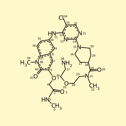 CNC(=O)COc1cc2cc(Nc3nc(N4CCC(C(=O)N(C)CCOCCN)CC4)ncc3Cl)ccc2n(C)c1=O